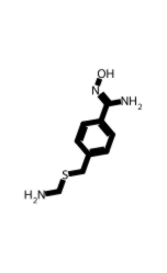 NCSCc1ccc(C(N)=NO)cc1